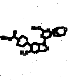 COc1nc(N2C3CCC2COC3)cc(-n2ncc3cc(C)c(C4CCN(C(=O)OC(C)(C)C)CC4)cc32)n1